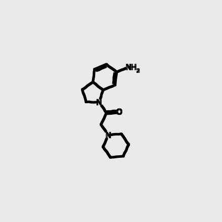 NC1=CC2C(C=C1)CCN2C(=O)CN1CCCCC1